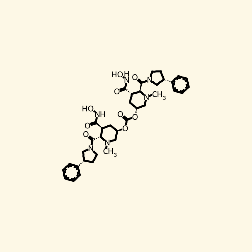 CN1C[C@H](OC(=O)O[C@@H]2C[C@H](C(=O)NO)[C@@H](C(=O)N3CC[C@H](c4ccccc4)C3)N(C)C2)C[C@H](C(=O)NO)[C@H]1C(=O)N1CC[C@H](c2ccccc2)C1